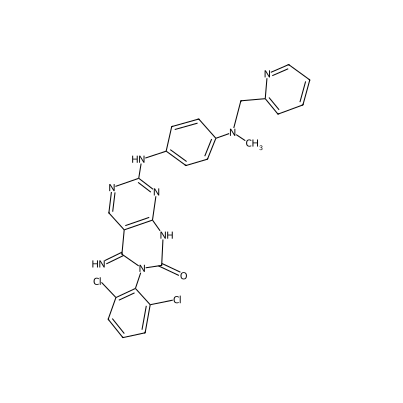 CN(Cc1ccccn1)c1ccc(Nc2ncc3c(=N)n(-c4c(Cl)cccc4Cl)c(=O)[nH]c3n2)cc1